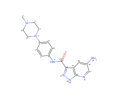 CN1CCN(c2ccc(NC(=O)c3n[nH]c4ncc(N)cc34)cc2)CC1